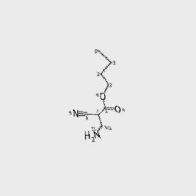 CCCCOC(=O)C(C#N)CN